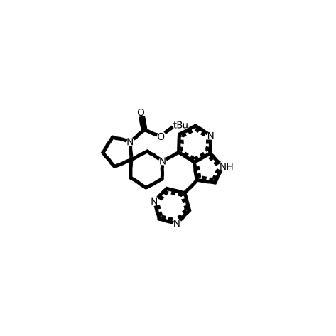 CC(C)(C)OC(=O)N1CCCC12CCCN(c1ccnc3[nH]cc(-c4cncnc4)c13)C2